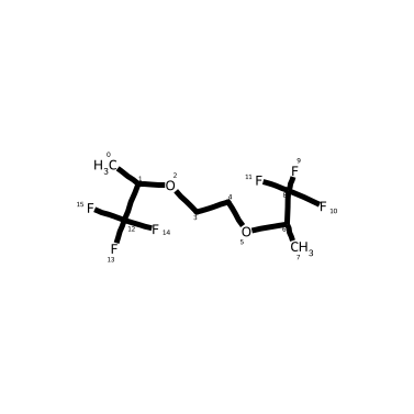 CC(OCCOC(C)C(F)(F)F)C(F)(F)F